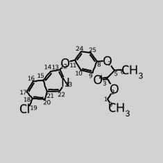 CCOC(=O)C(C)Oc1ccc(Oc2cc3ccc(Cl)cc3cn2)cc1